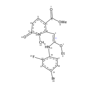 CCO/C(=C/c1c(C(=O)OC)ccc(=O)n1C)Nc1ccc(Br)cc1F